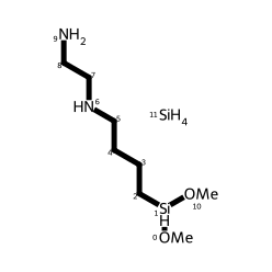 CO[SiH](CCCCNCCN)OC.[SiH4]